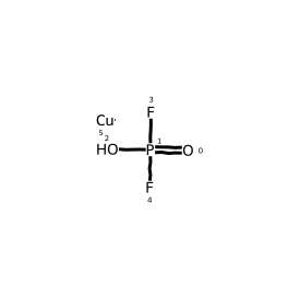 O=P(O)(F)F.[Cu]